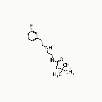 CC(C)(C)OC(=O)NCCNCCc1cccc(F)c1